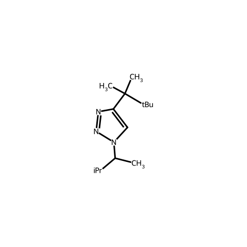 CC(C)C(C)n1cc(C(C)(C)C(C)(C)C)nn1